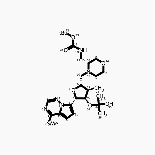 CSc1ncnn2c([C@@H]3O[C@H](CN4CCOC[C@H]4CNC(=O)OC(C)(C)C)[C@@H](C)[C@H]3OC(C)(C)O)ccc12